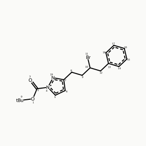 CC(C)(C)OC(=O)n1ccc(CCC(Br)Cc2ccccc2)n1